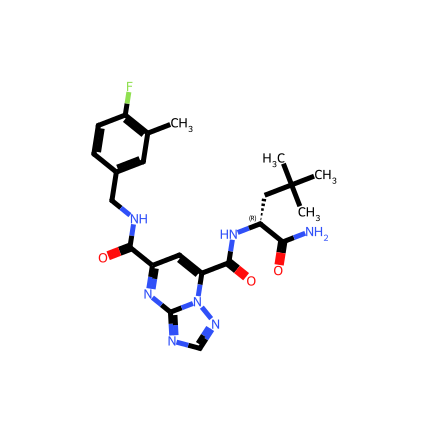 Cc1cc(CNC(=O)c2cc(C(=O)N[C@H](CC(C)(C)C)C(N)=O)n3ncnc3n2)ccc1F